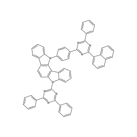 c1ccc(-c2nc(-c3ccc(-n4c5ccccc5c5ccc6c(c7ccccc7n6-c6nc(-c7ccccc7)nc(-c7ccccc7)n6)c54)cc3)nc(-c3cccc4ccccc34)n2)cc1